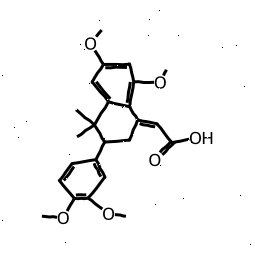 COc1cc(OC)c2c(c1)C(C)(C)C(c1ccc(OC)c(OC)c1)CC2=CC(=O)O